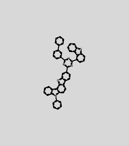 c1ccc(-c2cccc(-c3nc(-c4ccc5c(c4)oc4c5ccc5c4c4ccccc4n5-c4ccccc4)nc(-c4cccc5sc6ccccc6c45)n3)c2)cc1